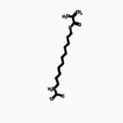 C=C(C)C(=O)OCCCCCCCCCCC[SiH2]C(Cl)Cl